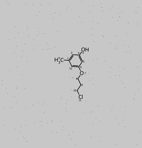 Cc1cc(O)cc(OCCCCl)c1